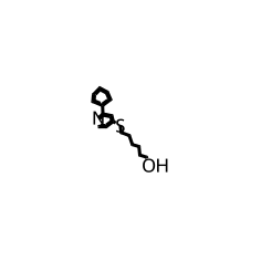 OCCCCCCSc1ccnc(-c2ccccc2)c1